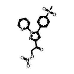 CS(=O)(=O)c1ccc(-c2cc(C(=O)CO[N+](=O)[O-])nn2-c2ccccn2)cc1